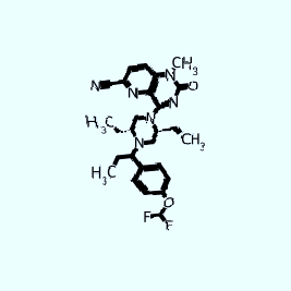 CCC(c1ccc(OC(F)F)cc1)N1C[C@H](CC)N(c2nc(=O)n(C)c3ccc(C#N)nc23)C[C@H]1CC